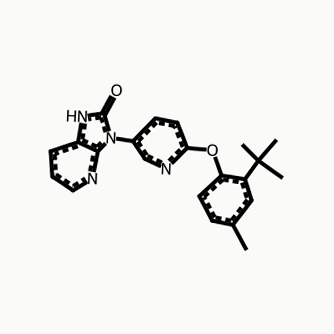 Cc1ccc(Oc2ccc(-n3c(=O)[nH]c4cccnc43)cn2)c(C(C)(C)C)c1